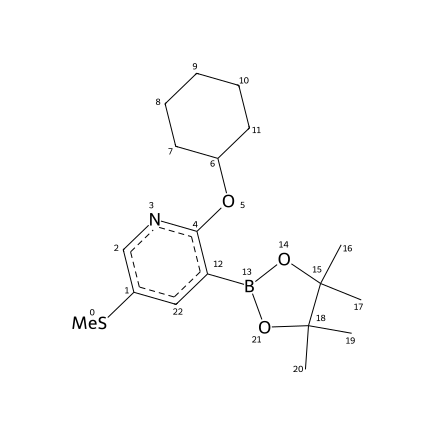 CSc1cnc(OC2CCCCC2)c(B2OC(C)(C)C(C)(C)O2)c1